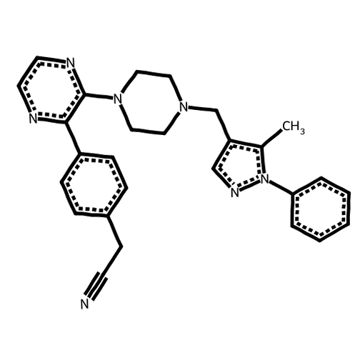 Cc1c(CN2CCN(c3nccnc3-c3ccc(CC#N)cc3)CC2)cnn1-c1ccccc1